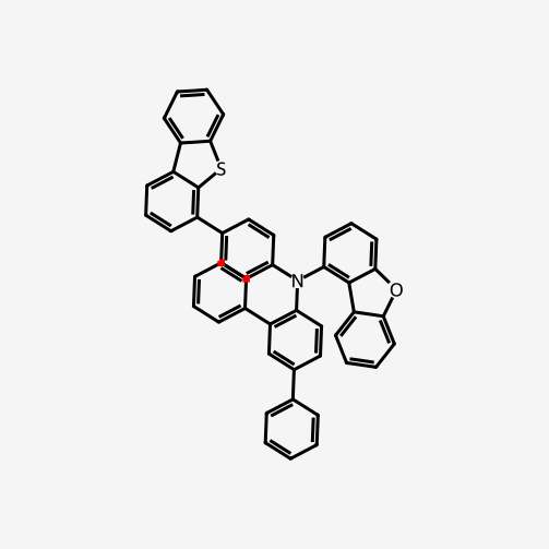 c1ccc(-c2ccc(N(c3ccc(-c4cccc5c4sc4ccccc45)cc3)c3cccc4oc5ccccc5c34)c(-c3ccccc3)c2)cc1